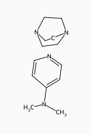 C1CN2CCN1CC2.CN(C)c1ccncc1